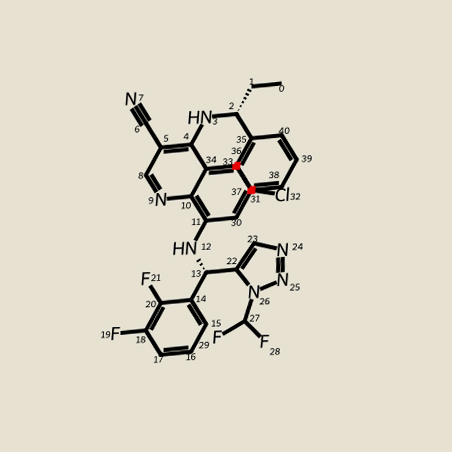 CC[C@@H](Nc1c(C#N)cnc2c(N[C@@H](c3cccc(F)c3F)c3cnnn3C(F)F)cc(Cl)cc12)c1ccccc1